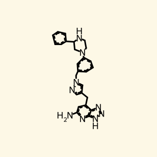 Nc1cc(Cc2cnn(Cc3cccc(N4CCNC(c5ccccc5)C4)c3)c2)c2nn[nH]c2n1